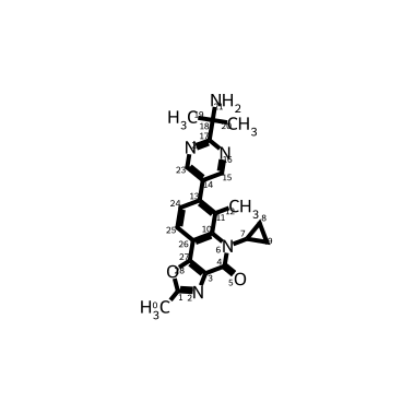 Cc1nc2c(=O)n(C3CC3)c3c(C)c(-c4cnc(C(C)(C)N)nc4)ccc3c2o1